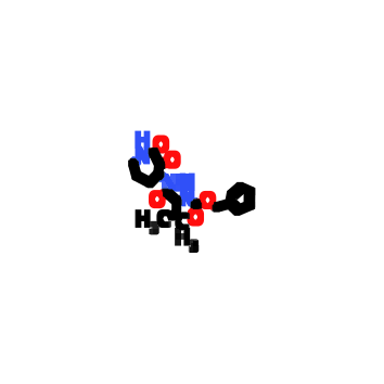 CC(C)C(NC(=O)OCc1ccccc1)C(=O)NC1CCCNC(=O)C1=O